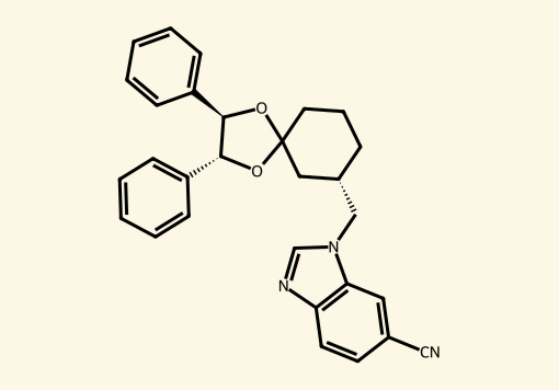 N#Cc1ccc2ncn(C[C@H]3CCCC4(C3)O[C@H](c3ccccc3)[C@@H](c3ccccc3)O4)c2c1